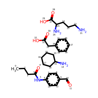 CCCC(=O)Nc1ccc(C=O)cc1.NC1CCCCC1.NCCCC(N)C(=O)O.O=C(O)Cc1ccccc1